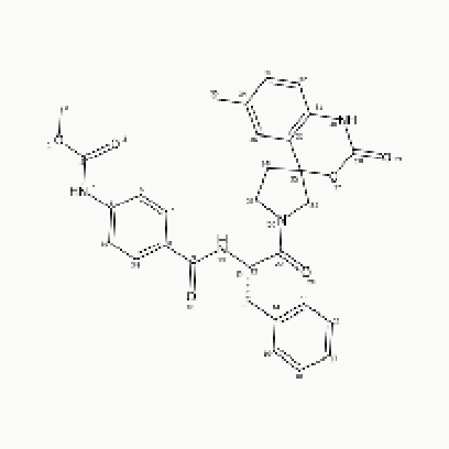 COC(=O)Nc1ccc(C(=O)N[C@@H](Cc2ccccc2)C(=O)N2CCC3(C2)OC(=O)Nc2ccc(C)cc23)cc1